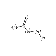 NC(=O)NNO